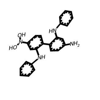 Nc1ccc(-c2ccc(N(O)O)cc2Nc2ccccc2)c(Nc2ccccc2)c1